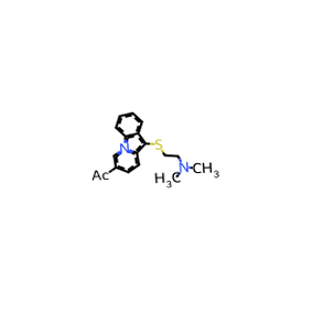 CC(=O)c1ccc2c(SCCN(C)C)c3ccccc3n2c1